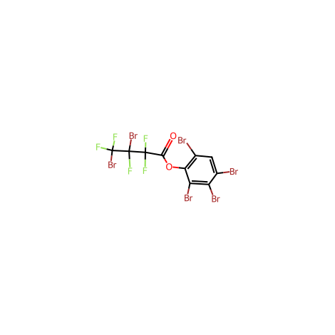 O=C(Oc1c(Br)cc(Br)c(Br)c1Br)C(F)(F)C(F)(Br)C(F)(F)Br